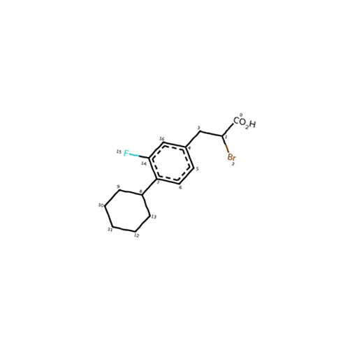 O=C(O)C(Br)Cc1ccc(C2CCCCC2)c(F)c1